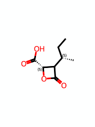 CC[C@H](C)C1C(=O)O[C@@H]1C(=O)O